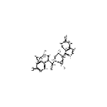 C[C@@H]1C2C1N(c1ncnc3c1[C@H](C)CC(=O)N3)CCN2C(=O)[C@H](CN(C)C1CC1)c1ccc(Cl)cc1